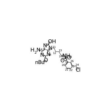 CCCCOc1nc(N)c2nc(O)n(CCCCNS(=O)(=O)c3cccc(CCl)c3)c2n1